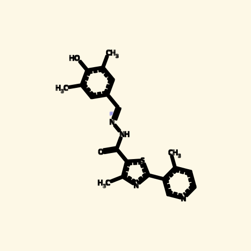 Cc1ccncc1-c1nc(C)c(C(=O)N/N=C/c2cc(C)c(O)c(C)c2)s1